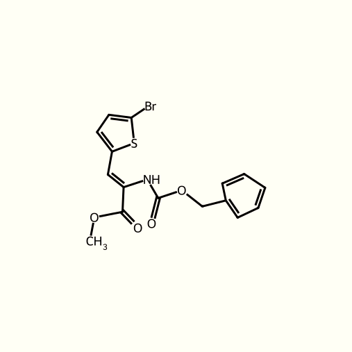 COC(=O)/C(=C/c1ccc(Br)s1)NC(=O)OCc1ccccc1